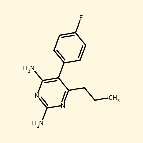 CCCc1nc(N)nc(N)c1-c1ccc(F)cc1